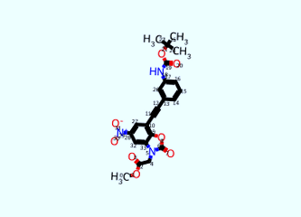 COC(=O)Cn1c(=O)oc2c(C#Cc3cccc(NC(=O)OC(C)(C)C)c3)cc([N+](=O)[O-])cc21